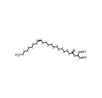 CCCCCCCC/C=C\CCCCCCCCCCCC(=O)OC(CO)CO